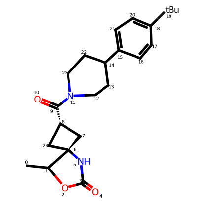 CC1OC(=O)N[C@]12C[C@@H](C(=O)N1CCC(c3ccc(C(C)(C)C)cc3)CC1)C2